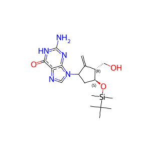 C=C1C(n2cnc3c(=O)[nH]c(N)nc32)C[C@H](O[Si](C)(C)C(C)(C)C)[C@H]1CO